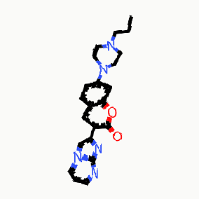 CCCN1CCN(c2ccc3cc(-c4cn5cccnc5n4)c(=O)oc3c2)CC1